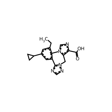 CCc1cc(C2CC2)cc2c1-n1cnc(C(=O)O)c1Cn1ncnc1-2